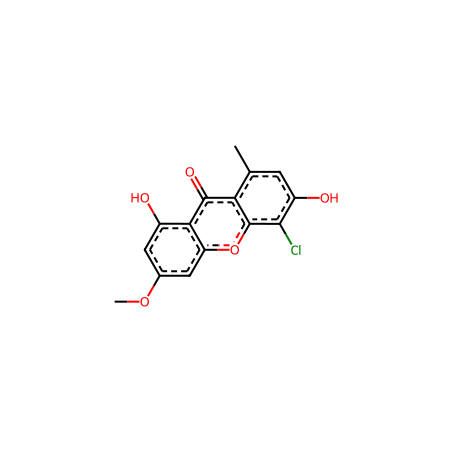 COc1cc(O)c2c(=O)c3c(C)cc(O)c(Cl)c3oc2c1